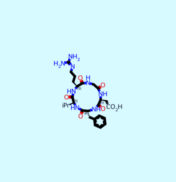 CC(C)[C@@H]1NC(=O)[C@@H](Cc2ccccc2)NC(=O)[C@H](CC(=O)O)NC(=O)CNC(=O)[C@H](CCCN=C(N)N)NC1=O